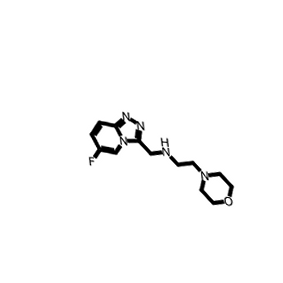 Fc1ccc2nnc(CNCCN3CCOCC3)n2c1